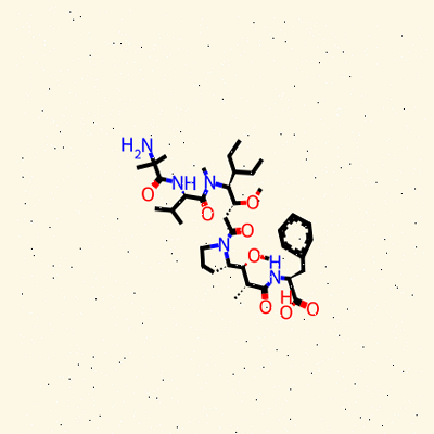 CCC(CC)[C@@H]([C@@H](CC(=O)N1CCC[C@H]1[C@H](OC)[C@@H](C)C(=O)N[C@@H](Cc1ccccc1)C(=O)O)OC)N(C)C(=O)[C@@H](NC(=O)C(C)(C)N)C(C)C